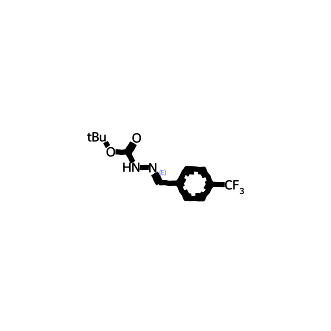 CC(C)(C)OC(=O)N/N=C/c1ccc(C(F)(F)F)cc1